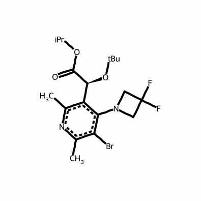 Cc1nc(C)c([C@H](OC(C)(C)C)C(=O)OC(C)C)c(N2CC(F)(F)C2)c1Br